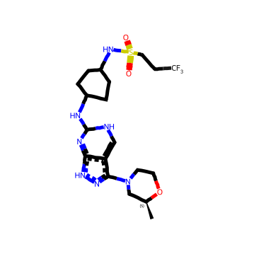 C[C@H]1CN(c2n[nH]c3c2=CNC(NC2CCC(NS(=O)(=O)CCC(F)(F)F)CC2)N=3)CCO1